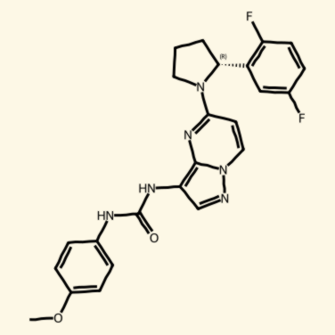 COc1ccc(NC(=O)Nc2cnn3ccc(N4CCC[C@@H]4c4cc(F)ccc4F)nc23)cc1